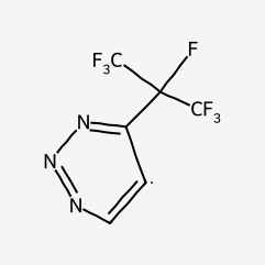 FC(F)(F)C(F)(c1[c]cnnn1)C(F)(F)F